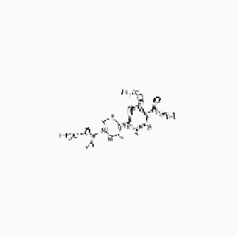 COC(=O)N1CCN(c2ccc(C(=O)O)c(OC)n2)CC1